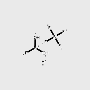 F[B-](F)(F)F.OB(O)F.[H+]